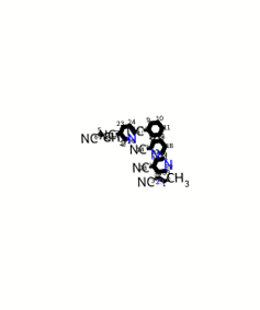 C/C=C/C#N.C=CC#N.N#Cc1ccccc1.N#Cc1ccccn1.N#Cc1cccnc1.N#Cc1ccncc1